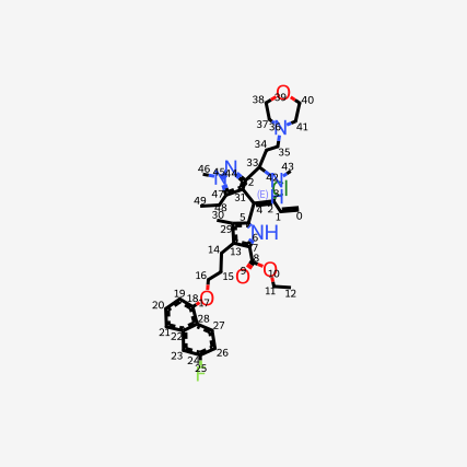 C=C/C(Cl)=C(\c1[nH]c(C(=O)OCC)c(CCCOc2cccc3cc(F)ccc23)c1C)c1c(C(CCN2CCOCC2)NC)nn(C)c1CC